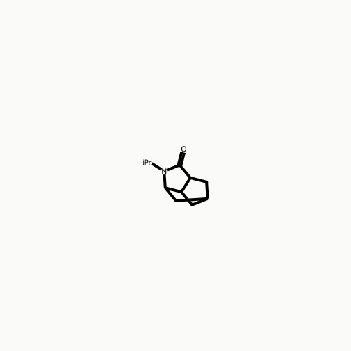 CC(C)N1C(=O)C2CC3CC2C1C3